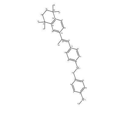 COc1ccc(COc2ccc(C=C(C)c3ccc4c(c3)C(C)(C)CCC4(C)C)cc2)cc1